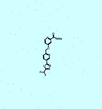 CNC(=O)c1cc(OCc2ccc(-c3nnc(C(F)F)o3)cn2)ccn1